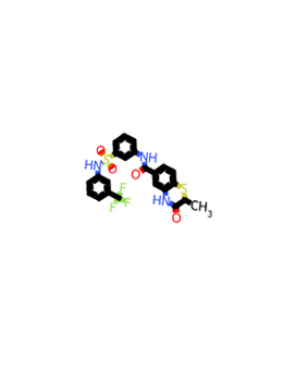 CC1Sc2ccc(C(=O)Nc3cccc(S(=O)(=O)Nc4cccc(C(F)(F)F)c4)c3)cc2NC1=O